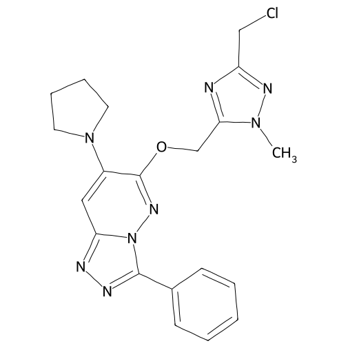 Cn1nc(CCl)nc1COc1nn2c(-c3ccccc3)nnc2cc1N1CCCC1